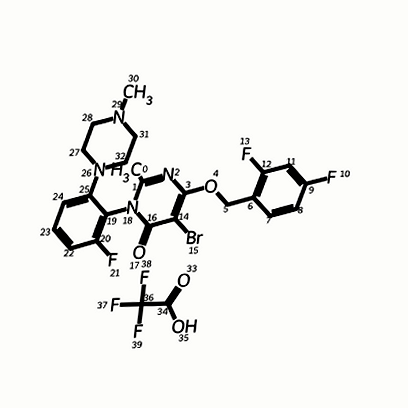 Cc1nc(OCc2ccc(F)cc2F)c(Br)c(=O)n1-c1c(F)cccc1N1CCN(C)CC1.O=C(O)C(F)(F)F